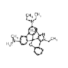 CCN(CC)c1ccc2c(c1)-c1cc(N(C)C)ccc1C21Oc2ccccc2-c2c1c(C)nn2CC